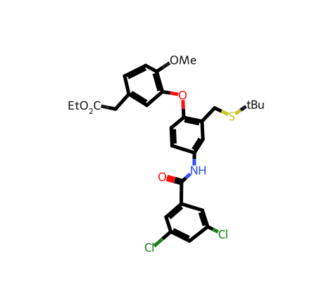 CCOC(=O)Cc1ccc(OC)c(Oc2ccc(NC(=O)c3cc(Cl)cc(Cl)c3)cc2CSC(C)(C)C)c1